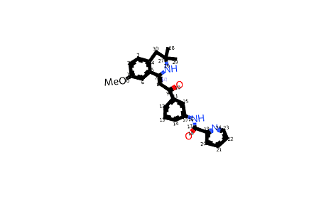 COc1ccc2c(c1)/C(=C/C(=O)c1cccc(NC(=O)c3ccccn3)c1)NC(C)(C)C2